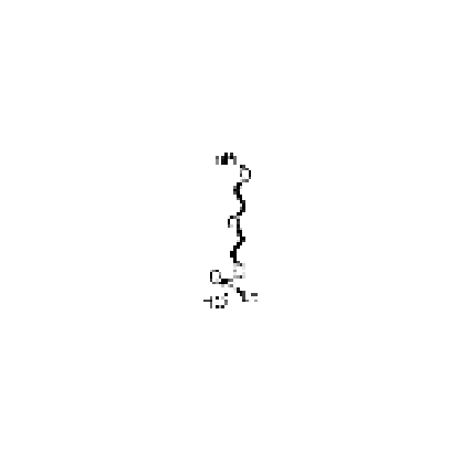 CCCOCCOCCOP(=O)(O)CC